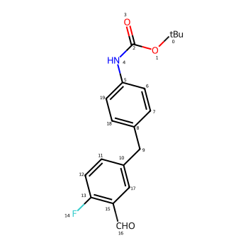 CC(C)(C)OC(=O)Nc1ccc(Cc2ccc(F)c(C=O)c2)cc1